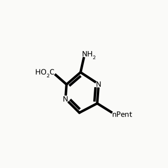 CCCCCc1cnc(C(=O)O)c(N)n1